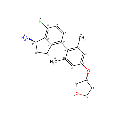 Cc1cc(O[C@H]2CCOC2)cc(C)c1-c1ccc(F)c2c1CC[C@H]2N